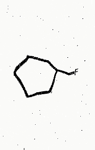 FC1[C]CCCC1